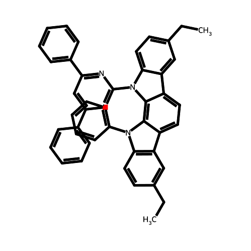 CCc1ccc2c(c1)c1ccc3c4cc(CC)ccc4n(-c4nc(-c5ccccc5)cc(-c5ccccc5)n4)c3c1n2-c1ccccc1